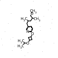 COCC(C)CC(C)Cc1ccc(OC2CC(OC(C)C)C2)nc1